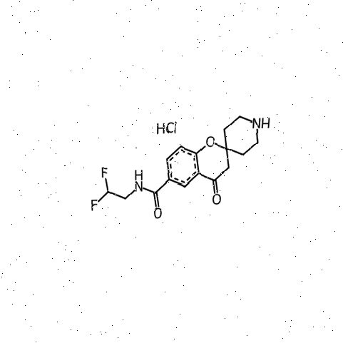 Cl.O=C(NCC(F)F)c1ccc2c(c1)C(=O)CC1(CCNCC1)O2